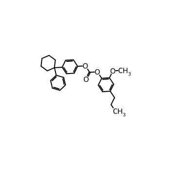 CCCc1ccc(OC(=O)Oc2ccc(C3(c4ccccc4)CCCCC3)cc2)c(OC)c1